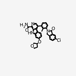 Cc1c(-c2cnc(C(N)=O)c3[nH]c4cc(OC5CCOC5)ccc4c23)cccc1N1Cc2ccc(Cl)cc2C1=O